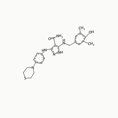 Cc1cc(CNc2[nH]nc(Nc3ccc(N4CCSCC4)cc3)c2C(N)=O)cc(C)c1O